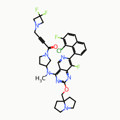 CN(c1nc(OCC23CCCN2CCC3)nc2c(F)c(-c3cccc4ccc(F)c(Cl)c34)ncc12)C1CCN(C(=O)C#CCN2CC(F)(F)C2)C1